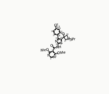 COc1ncnc(OC)c1C(=O)Nc1nc2c(s1)C1(CN(C(C)C)C1)Oc1cc(C(F)(F)F)ccc1-2